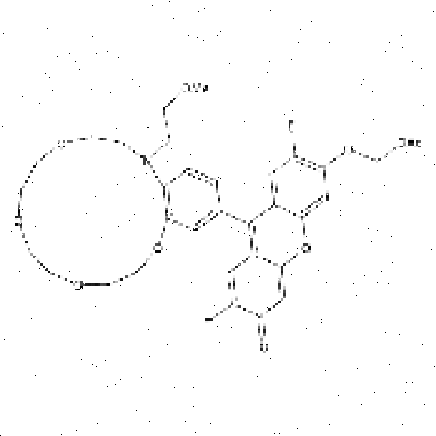 COCCN1CCOCCOCCOCCOc2cc(-c3c4cc(F)c(=O)cc-4oc4cc(OCOC(C)=O)c(F)cc34)ccc21